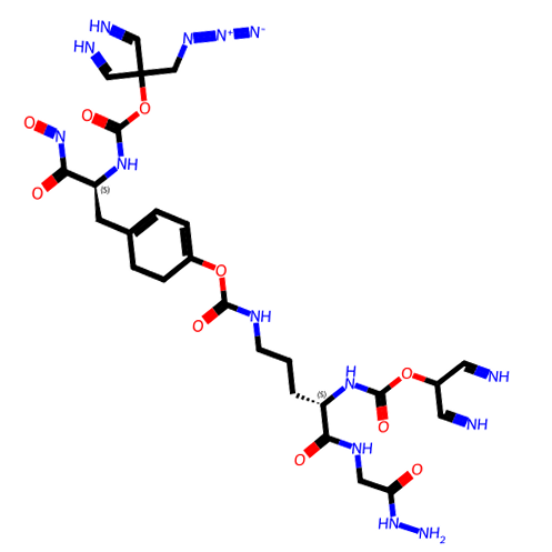 [N-]=[N+]=NCC(C=N)(C=N)OC(=O)N[C@@H](CC1=CC=C(OC(=O)NCCC[C@H](NC(=O)OC(C=N)C=N)C(=O)NCC(=O)NN)CC1)C(=O)N=O